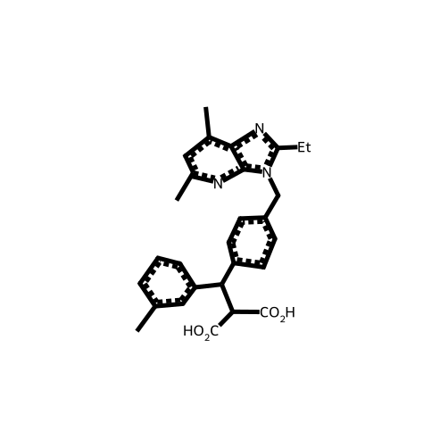 CCc1nc2c(C)cc(C)nc2n1Cc1ccc(C(c2cccc(C)c2)C(C(=O)O)C(=O)O)cc1